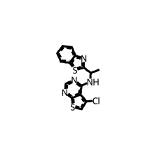 CC(Nc1ncnc2scc(Cl)c12)c1nc2ccccc2s1